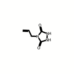 C=C[CH]n1c(=O)[nH][nH]c1=O